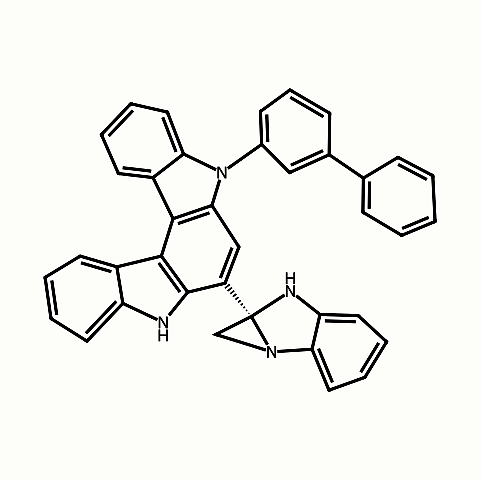 c1ccc(-c2cccc(-n3c4ccccc4c4c5c([nH]c6ccccc65)c([C@@]56CN5c5ccccc5N6)cc43)c2)cc1